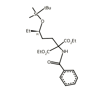 CCOC(=O)C(CC[C@@H](CC)O[Si](C)(C)C(C)(C)C)(NC(=O)c1ccccc1)C(=O)OCC